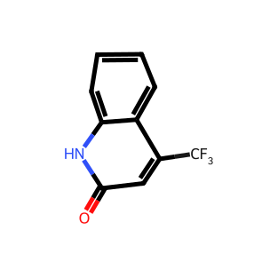 O=c1cc(C(F)(F)F)c2ccccc2[nH]1